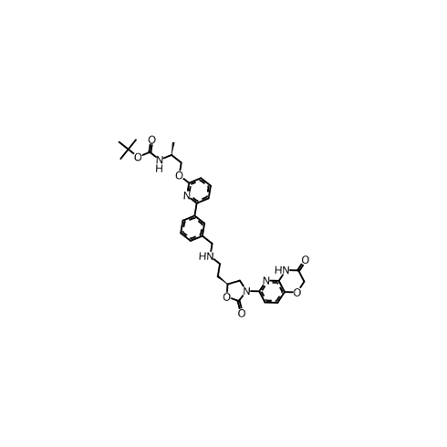 C[C@@H](COc1cccc(-c2cccc(CNCC[C@H]3CN(c4ccc5c(n4)NC(=O)CO5)C(=O)O3)c2)n1)NC(=O)OC(C)(C)C